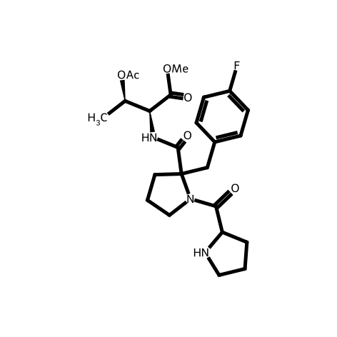 COC(=O)[C@@H](NC(=O)C1(Cc2ccc(F)cc2)CCCN1C(=O)C1CCCN1)[C@@H](C)OC(C)=O